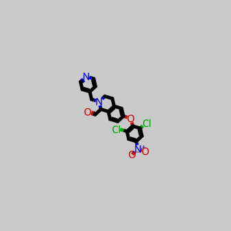 O=CC1c2ccc(Oc3c(Cl)cc([N+](=O)[O-])cc3Cl)cc2CCN1Cc1ccncc1